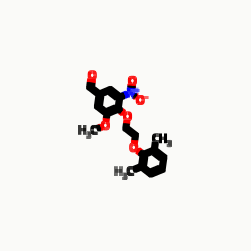 COc1cc(C=O)cc([N+](=O)[O-])c1OCCOc1c(C)cccc1C